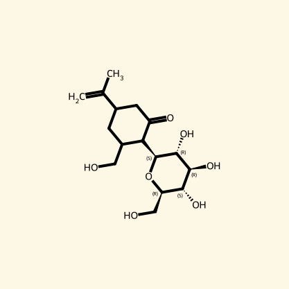 C=C(C)C1CC(=O)C([C@@H]2O[C@H](CO)[C@@H](O)[C@H](O)[C@H]2O)C(CO)C1